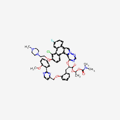 COc1ccccc1-c1nccc(COc2ccccc2CC(Oc2ncnn3cc4c5ccc(F)cc5c5c(Cl)c(OCCN6CCN(C)CC6)ccc5c4c23)C(=O)OC(C)OC(=O)N(C)C)n1